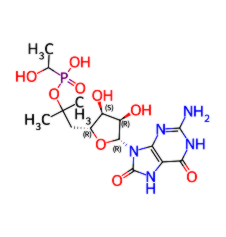 CC(O)P(=O)(O)OC(C)(C)C[C@H]1O[C@@H](n2c(=O)[nH]c3c(=O)[nH]c(N)nc32)[C@H](O)[C@@H]1O